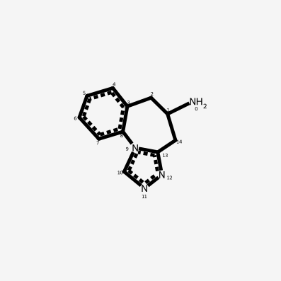 NC1Cc2ccccc2-n2cnnc2C1